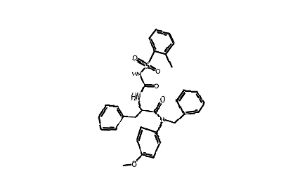 COc1ccc(N(Cc2ccccc2)C(=O)C(Cc2ccccc2)NC(=O)NS(=O)(=O)c2ccccc2C)cc1